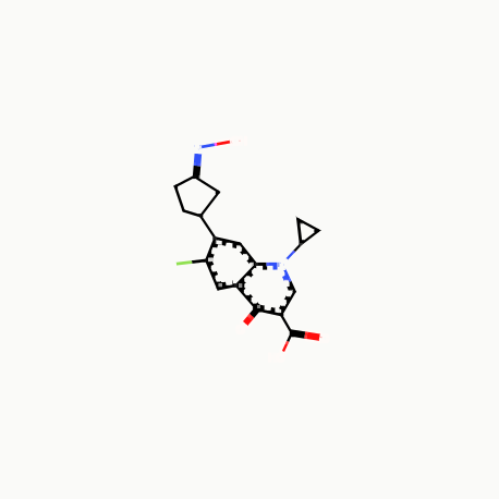 O=C(O)c1cn(C2CC2)c2cc(C3CCC(=NO)C3)c(F)cc2c1=O